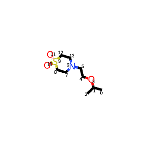 CC(C)OCCN1CCS(=O)(=O)CC1